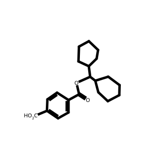 O=C(O)c1ccc(C(=O)OC(C2CCCCC2)C2CCCCC2)cc1